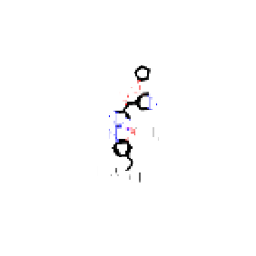 COc1cc(CC(C)C)ccc1Nc1ncc(C(=O)c2ccncc2OC2CCCC2)cn1